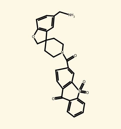 NCc1ccc2c(c1)C1(CCN(C(=O)c3ccc4c(c3)S(=O)(=O)c3ccccc3C4=O)CC1)CO2